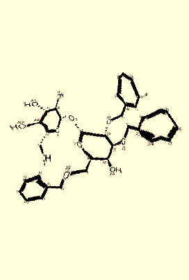 OC[C@H]1O[C@@H](O[C@H]2O[C@H](COCc3ccccc3)[C@H](O)[C@H](OCc3ccccc3)[C@H]2OCc2ccccc2)[C@H](O)[C@@H](O)[C@@H]1O